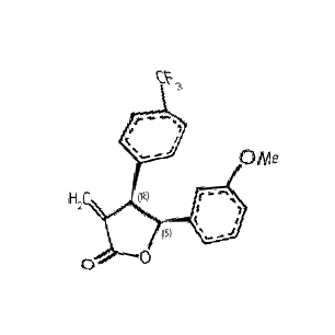 C=C1C(=O)O[C@H](c2cccc(OC)c2)[C@@H]1c1ccc(C(F)(F)F)cc1